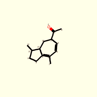 CC(=O)C1C=CC(C)=C2CCC(C)C2C1